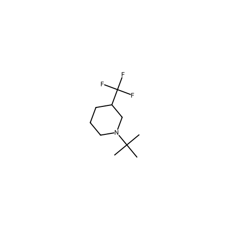 CC(C)(C)N1CCCC(C(F)(F)F)C1